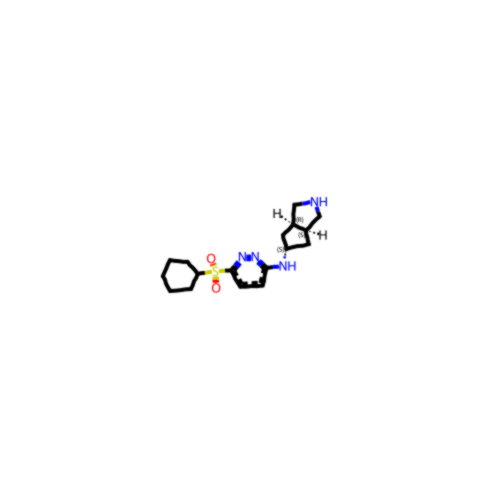 O=S(=O)(c1ccc(N[C@@H]2C[C@H]3CNC[C@H]3C2)nn1)C1CCCCC1